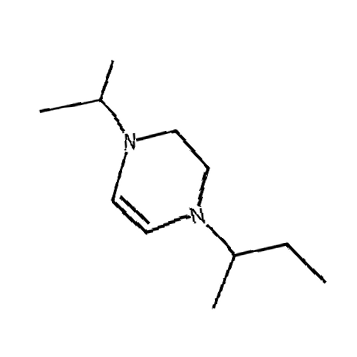 CCC(C)N1C=CN(C(C)C)CC1